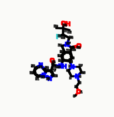 COCCN1CCN(c2cc3c(cc2NC(=O)c2cnn4cccnc24)CN(CC(F)C(C)(C)O)C3=O)CC1